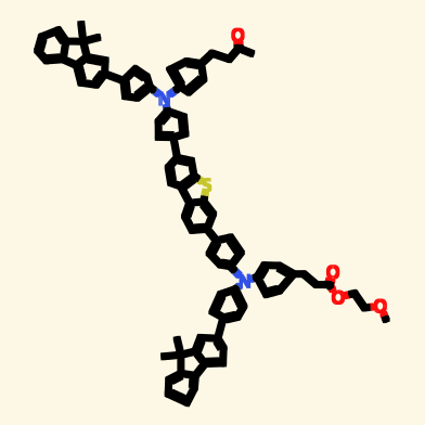 COCCOC(=O)CCc1ccc(N(c2ccc(-c3ccc4c(c3)C(C)(C)c3ccccc3-4)cc2)c2ccc(-c3ccc4c(c3)sc3cc(-c5ccc(N(c6ccc(CCC(C)=O)cc6)c6ccc(-c7ccc8c(c7)C(C)(C)c7ccccc7-8)cc6)cc5)ccc34)cc2)cc1